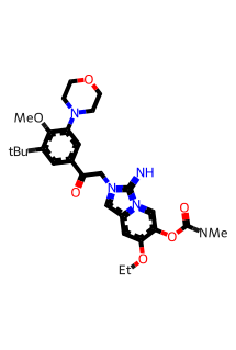 CCOc1cc2cn(CC(=O)c3cc(N4CCOCC4)c(OC)c(C(C)(C)C)c3)c(=N)n2cc1OC(=O)NC